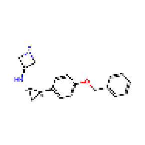 c1ccc(COc2ccc([C@H]3C[C@@H]3NC3CNC3)cc2)cc1